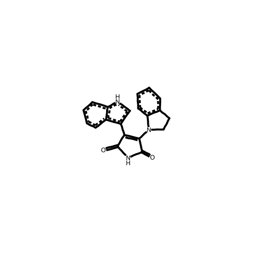 O=C1NC(=O)C(N2CCc3ccccc32)=C1c1c[nH]c2ccccc12